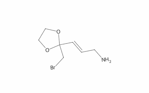 NCC=CC1(CBr)OCCO1